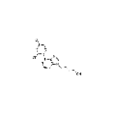 OCCCCn1cnc2c(-c3ccc(Cl)cc3Cl)nccc21